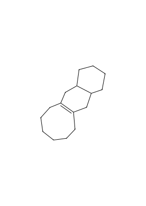 C1CCCC2=C(CC1)CC1CCCCC1C2